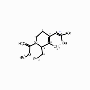 C=C(OC(C)(C)C)N1CCC(/C=C(/Br)C(C)CC)=C(C)C1CC(C)C